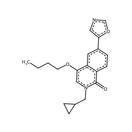 CCCCOc1[c]n(CC2CC2)c(=O)c2ccc(-c3cnco3)cc12